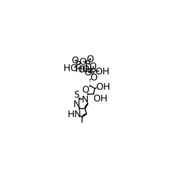 Cc1cc2cn([C@@H]3O[C@H](COP(=O)(O)OP(=O)(O)OP(=O)(O)O)C(O)[C@@H]3O)c(=S)nc2[nH]1